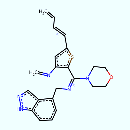 C=C/C=C/c1cc(N=C)c(/C(=N\Cc2cccc3[nH]ncc23)N2CCOCC2)s1